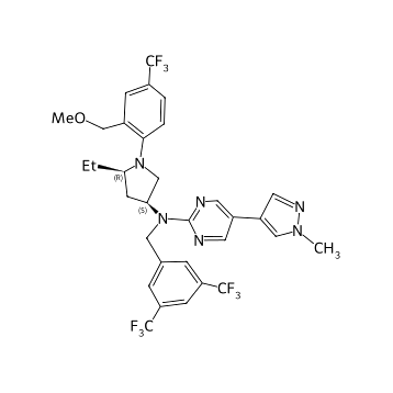 CC[C@@H]1C[C@H](N(Cc2cc(C(F)(F)F)cc(C(F)(F)F)c2)c2ncc(-c3cnn(C)c3)cn2)CN1c1ccc(C(F)(F)F)cc1COC